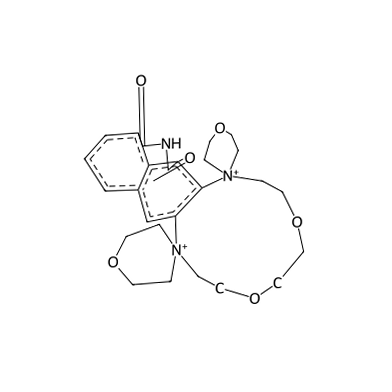 O=C1NC(=O)c2c3c(cc4cccc1c24)[N+]1(CCOCCOCC[N+]32CCOCC2)CCOCC1